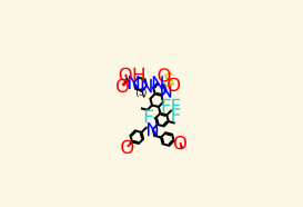 CCC1Cc2c(nc(S(C)(=O)=O)nc2N2CCN(C(=O)O)C[C@@H]2C)CC1c1c(F)c(N(Cc2ccc(OC)cc2)Cc2ccc(OC)cc2)cc(C)c1C(F)(F)F